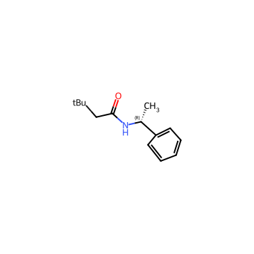 [CH2]C(C)(C)CC(=O)N[C@H](C)c1ccccc1